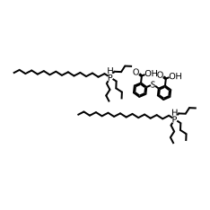 CCCCCCCCCCCCCCCC[PH](CCCC)(CCCC)CCCC.CCCCCCCCCCCCCCCC[PH](CCCC)(CCCC)CCCC.O=C(O)c1ccccc1Sc1ccccc1C(=O)O